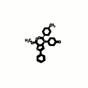 COC(=O)c1sc(-c2ccccc2)cc1N(C(=O)[C@H]1CC[C@H](C)CC1)C1CCC(=O)CC1